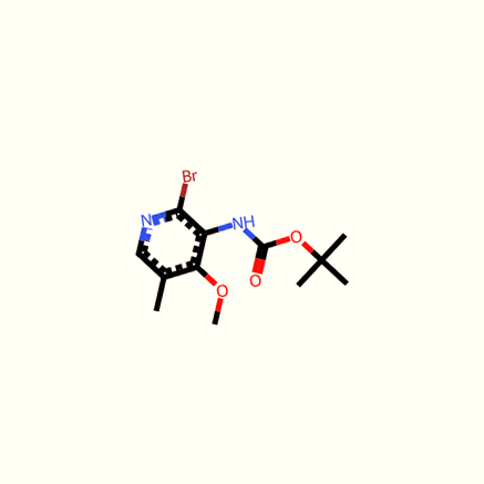 COc1c(C)cnc(Br)c1NC(=O)OC(C)(C)C